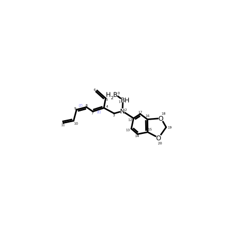 BBN(C/C(C=C)=C/C=C\C=C)c1ccc2c(c1)OCO2